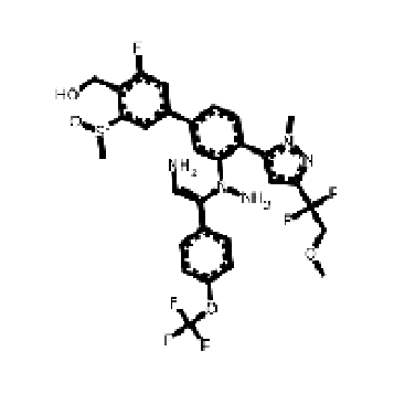 COCC(F)(F)c1cc(-c2ccc(-c3cc(F)c(CO)c([S+](C)[O-])c3)cc2N(N)/C(=C\N)c2ccc(OC(F)(F)F)cc2)n(C)n1